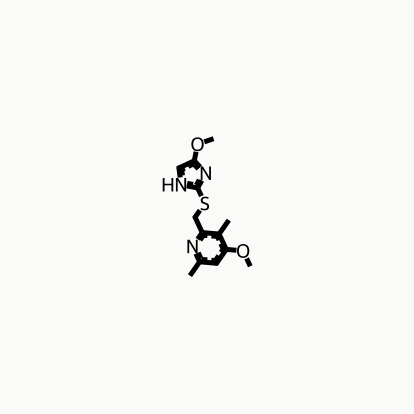 COc1c[nH]c(SCc2nc(C)cc(OC)c2C)n1